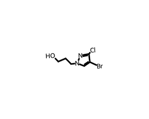 OCCCn1cc(Br)c(Cl)n1